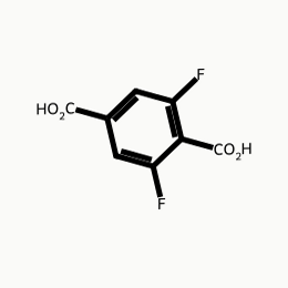 O=C(O)c1cc(F)c(C(=O)O)c(F)c1